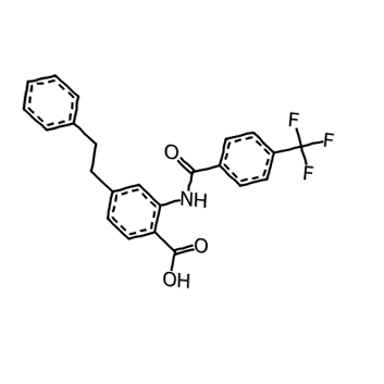 O=C(Nc1cc(CCc2ccccc2)ccc1C(=O)O)c1ccc(C(F)(F)F)cc1